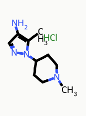 Cc1c(N)cnn1C1CCN(C)CC1.Cl